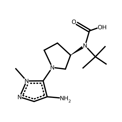 Cn1ncc(N)c1N1CC[C@@H](N(C(=O)O)C(C)(C)C)C1